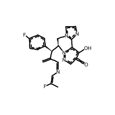 C=C(/C=N\C=C(/C)F)[C@@H](c1ccc(F)cc1)[C@H]1Cn2ccnc2-c2c(O)c(=O)cnn21